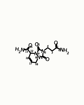 NC(=O)CCn1c(=O)n2n(c1=O)C(C(N)=O)C=CC2